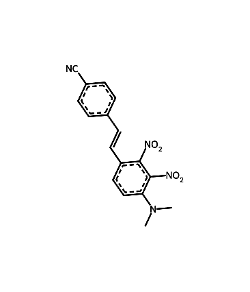 CN(C)c1ccc(C=Cc2ccc(C#N)cc2)c([N+](=O)[O-])c1[N+](=O)[O-]